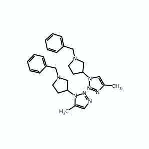 Cc1cn(C2CCN(Cc3ccccc3)C2)nn1.Cc1cnnn1C1CCN(Cc2ccccc2)C1